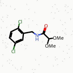 COC(OC)C(=O)NCc1cc(Cl)ccc1Cl